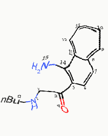 CCCCNCC(=O)c1ccc2ccccc2c1N